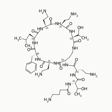 CC(C)C[C@@H]1NC(=O)[C@@H](Cc2ccccc2)NC(=O)[C@H](CCN)NC(=O)[C@@H](NC(=O)[C@H](CCN)NC(=O)[C@@H](NC(=O)CCCN)C(C)O)CCNC(=O)[C@H](C(C)O)NC(=O)[C@H](CCN)NC(=O)[C@H](CCN)NC1=O